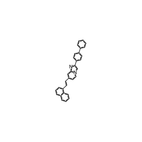 C(=C\c1cccc2ccccc12)/c1ccn2cc(-c3ccc(-c4ccccc4)cc3)nc2c1